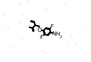 C=CC(COc1cc(F)c(N)cc1F)C(=C)C